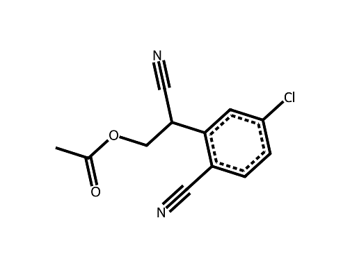 CC(=O)OCC(C#N)c1cc(Cl)ccc1C#N